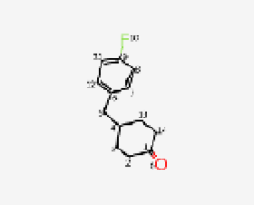 O=C1CCC(Cc2ccc(F)cc2)CC1